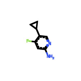 Nc1cc(F)c(C2CC2)cn1